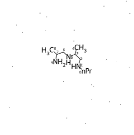 CCCNCC(C)NCC(C)N